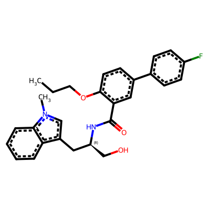 CCCOc1ccc(-c2ccc(F)cc2)cc1C(=O)N[C@@H](CO)Cc1cn(C)c2ccccc12